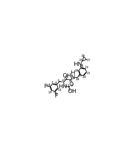 O=C(O)N[C@@H](Cc1cc(F)cc(F)c1)[C@H](O)CNCc1cccc(NC2CC2)c1